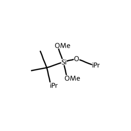 CO[Si](OC)(OC(C)C)C(C)(C)C(C)C